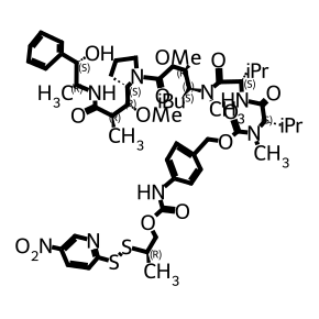 CC[C@H](C)[C@@H]([C@@H](CC(=O)N1CCC[C@H]1[C@H](OC)[C@@H](C)C(=O)N[C@H](C)[C@@H](O)c1ccccc1)OC)N(C)C(=O)[C@@H](NC(=O)[C@H](C(C)C)N(C)C(=O)OCc1ccc(NC(=O)OC[C@@H](C)SSc2ccc([N+](=O)[O-])cn2)cc1)C(C)C